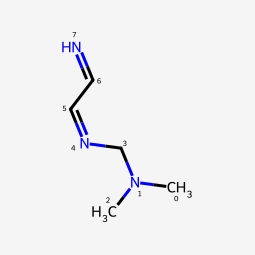 CN(C)C/N=C\C=N